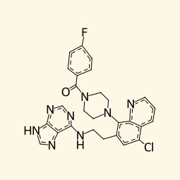 O=C(c1ccc(F)cc1)N1CCN(c2c(CCNc3ncnc4[nH]cnc34)cc(Cl)c3cccnc23)CC1